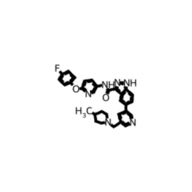 CC1CCN(Cc2cncc(-c3ccc4[nH]nc(C(=O)Nc5ccc(Oc6ccc(F)cc6)nc5)c4c3)c2)CC1